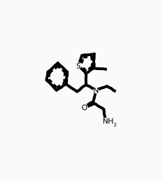 CCN(C(=O)CN)C(Cc1ccccc1)c1sccc1C